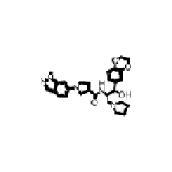 Cn1ncc2ccc(N3CCC(C(=O)N[C@H](CN4CCCC4)[C@H](O)c4ccc5c(c4)OCCO5)C3)cc21